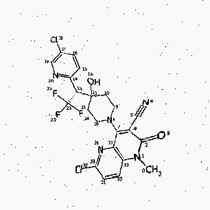 Cn1c(=O)c(C#N)c(N2CCC(O)([C@@H](c3ccc(Cl)cn3)C(F)(F)F)CC2)c2nc(Cl)ccc21